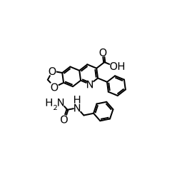 NC(=O)NCc1ccccc1.O=C(O)c1cc2cc3c(cc2nc1-c1ccccc1)OCO3